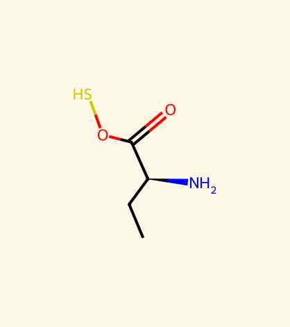 CC[C@H](N)C(=O)OS